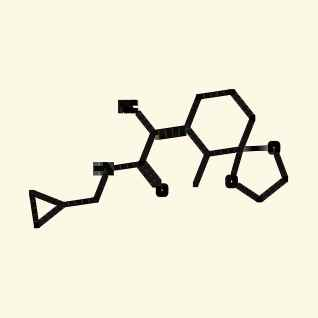 CC1/C(=C(/C#N)C(=O)NCC2CC2)CCCC12OCCO2